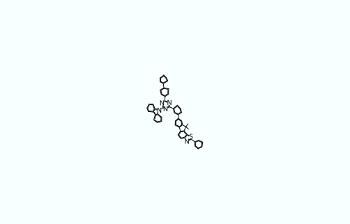 CC1(C)c2cc(-c3cccc(-c4nc(-c5ccc(-c6ccccc6)cc5)nc(-n5c6ccccc6c6ccccc65)n4)c3)ccc2-c2ccc3nc(-c4ccccc4)sc3c21